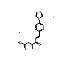 CC(CC(=O)O)C(=O)/C=C/c1ccc(-n2ccnc2)cc1